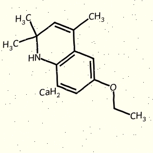 CCOc1ccc2c(c1)C(C)=CC(C)(C)N2.[CaH2]